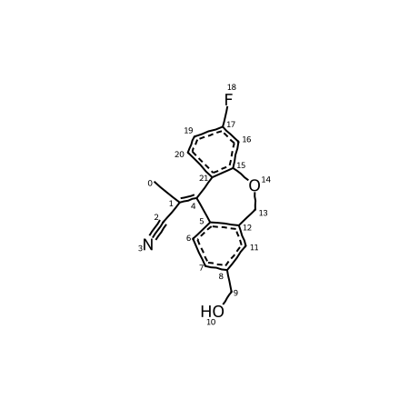 CC(C#N)=C1c2ccc(CO)cc2COc2cc(F)ccc21